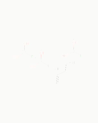 C=CCS(=O)(=O)O.OB(O)F.OB(O)F.OB(O)F.[LiH]